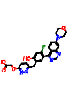 O=C(O)COc1ccc(Cc2cc(-c3ncnc4cc(N5CCOCC5)ccc34)c(F)cc2O)nn1